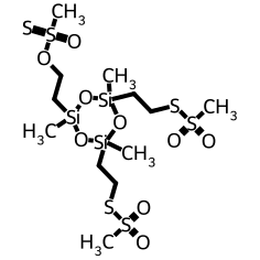 C[Si]1(CCOS(C)(=O)=S)O[Si](C)(CCSS(C)(=O)=O)O[Si](C)(CCSS(C)(=O)=O)O1